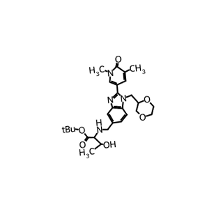 Cc1cc(-c2nc3cc(CNC(C(=O)OC(C)(C)C)C(C)O)ccc3n2CC2COCCO2)cn(C)c1=O